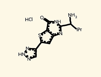 CC(C)C(N)c1nc2cc(-c3cn[nH]n3)sc2c(=O)[nH]1.Cl